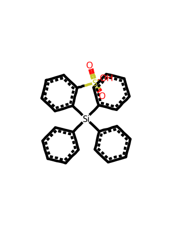 O=S(=O)(O)c1ccccc1[Si](c1ccccc1)(c1ccccc1)c1ccccc1